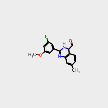 COc1cc(F)cc(C2=Nc3cc(C)ccc3C(C=O)N2)c1